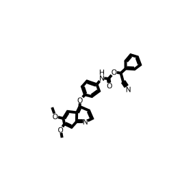 COc1cc2nccc(Oc3ccc(NC(=O)OC(C#N)c4ccccc4)cc3)c2cc1OC